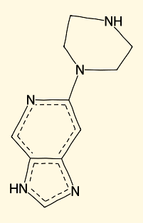 c1nc2cc(N3CCNCC3)ncc2[nH]1